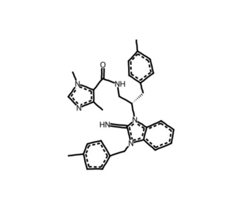 Cc1ccc(C[C@@H](CNC(=O)c2c(C)ncn2C)n2c(=N)n(Cc3ccc(C)cc3)c3ccccc32)cc1